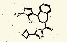 Cc1c(C2CN(C(=O)c3nnc(C4CCC4)s3)Cc3ccccc32)cnn1C